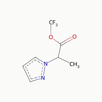 CC(C(=O)OC(F)(F)F)n1cccn1